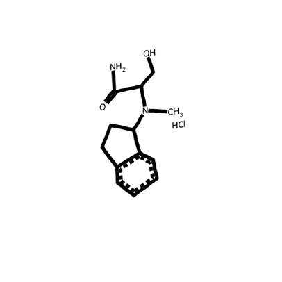 CN(C(CO)C(N)=O)C1CCc2ccccc21.Cl